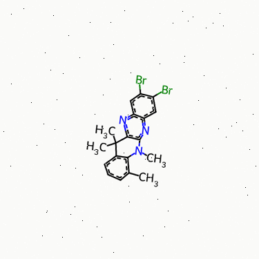 Cc1cccc2c1N(C)c1nc3cc(Br)c(Br)cc3nc1C2(C)C